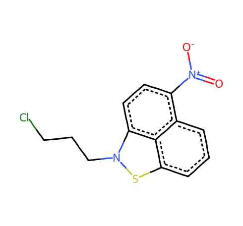 O=[N+]([O-])c1ccc2c3c(cccc13)SN2CCCCl